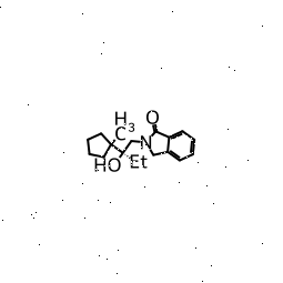 CC[C@@](O)(CN1Cc2ccccc2C1=O)C1(C)CCCC1